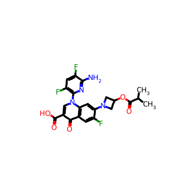 CC(C)C(=O)OC1CN(c2cc3c(cc2F)c(=O)c(C(=O)O)cn3-c2nc(N)c(F)cc2F)C1